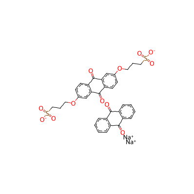 O=C1c2ccc(OCCCS(=O)(=O)[O-])cc2C(=O)c2ccc(OCCCS(=O)(=O)[O-])cc21.O=C1c2ccccc2C(=O)c2ccccc21.[Na+].[Na+]